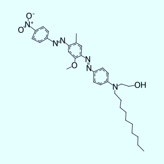 CCCCCCCCCCN(CCO)c1ccc(/N=N/c2cc(C)c(/N=N/c3ccc([N+](=O)[O-])cc3)cc2OC)cc1